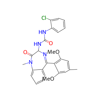 COc1cc(C)cc(OC)c1C1=NC(NC(=O)Nc2ccccc2Cl)C(=O)N(C)c2ccccc21